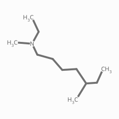 CCC(C)CCCCN(C)CC